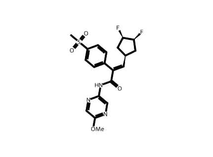 COc1cnc(NC(=O)/C(=C/[C@H]2C[C@@H](F)[C@@H](F)C2)c2ccc(S(C)(=O)=O)cc2)cn1